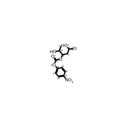 CCC(O)CC(OC(=O)Oc1ccc([N+](=O)[O-])cc1)C(C)O